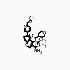 COCc1ccc(-c2ccc3ncc(C(N)=O)c(N([C@@H](C)C4CCOCC4)C(C)(C)C)c3c2)cn1